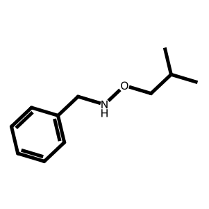 CC(C)CONCc1ccccc1